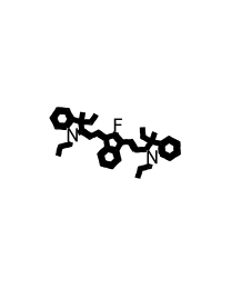 CCCN1/C(=C/C=C2C(F)=C(/C=C/C3=[N+](CCC)c4ccccc4C3(C)CC)c3ccccc3/2)C(C)(CC)c2ccccc21